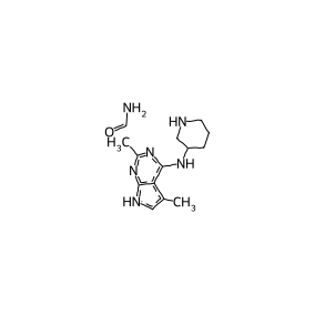 Cc1nc(NC2CCCNC2)c2c(C)c[nH]c2n1.NC=O